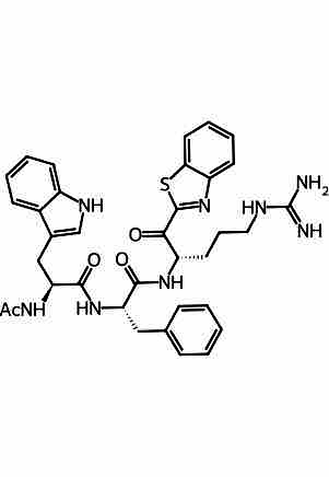 CC(=O)N[C@@H](Cc1c[nH]c2ccccc12)C(=O)N[C@@H](Cc1ccccc1)C(=O)N[C@@H](CCCNC(=N)N)C(=O)c1nc2ccccc2s1